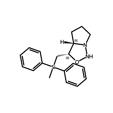 C[Si](C[C@H]1ONN2CCC[C@@H]12)(c1ccccc1)c1ccccc1